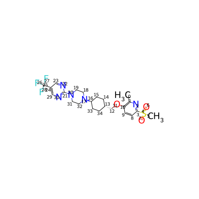 Cc1nc(S(C)(=O)=O)ccc1OC[C@H]1CC[C@H](N2CCN(c3ncc(C(F)(F)F)cn3)CC2)CC1